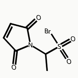 CC(N1C(=O)C=CC1=O)S(=O)(=O)Br